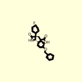 O=C(O)CC[C@]1(c2ccc(F)cc2)C(=O)N[C@H]1c1ccc(OCc2ccccc2)cc1